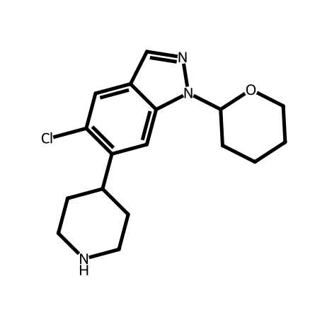 Clc1cc2cnn(C3CCCCO3)c2cc1C1CCNCC1